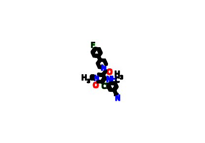 Cc1cc(C#N)ccc1Nc1c(C(=O)N2CCC(c3ccc(F)cc3)CC2)cn(C)c(=O)c1Cl